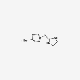 CCCCc1ccc(N=C2NCCN2)cc1